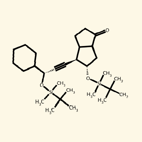 CC(C)(C)[Si](C)(C)O[C@@H](C#C[C@H]1C2CCC(=O)C2C[C@@H]1O[Si](C)(C)C(C)(C)C)C1CCCCC1